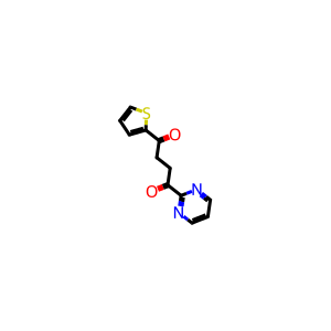 O=C(CCC(=O)c1cccs1)c1ncccn1